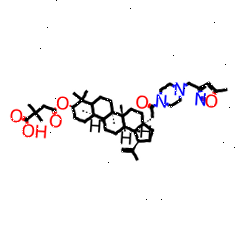 C=C(C)[C@@H]1CC[C@]2(CC(=O)N3CCN(Cc4cc(C)on4)CC3)CC[C@]3(C)[C@H](CC[C@@H]4[C@@]5(C)CC[C@H](OC(=O)CC(C)(C)C(=O)O)C(C)(C)C5CC[C@]43C)[C@@H]12